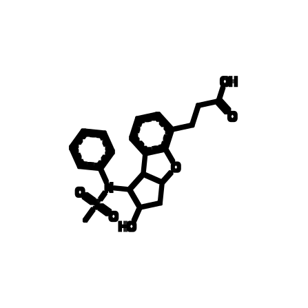 CS(=O)(=O)N(c1ccccc1)C1C(O)CC2Oc3c(CCC(=O)O)cccc3C21